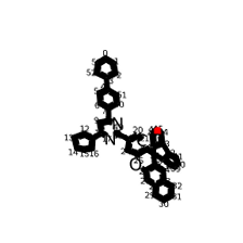 c1ccc(-c2ccc(-c3cc(-c4ccccc4)nc(-c4ccc5c(c4)Oc4cc6ccccc6cc4C54c5ccccc5-c5ccccc54)n3)cc2)cc1